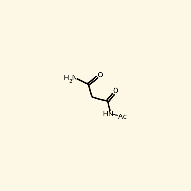 CC(=O)NC(=O)CC(N)=O